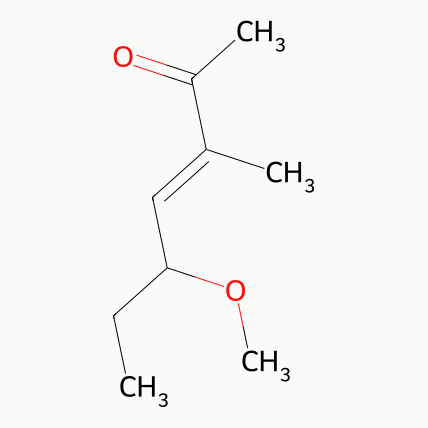 CCC(/C=C(\C)C(C)=O)OC